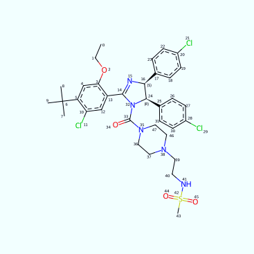 CCOc1cc(C(C)(C)C)c(Cl)cc1C1=N[C@@H](c2ccc(Cl)cc2)[C@@H](c2ccc(Cl)cc2)N1C(=O)N1CCN(CCNS(C)(=O)=O)CC1